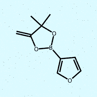 C=C1OB(c2ccoc2)OC1(C)C